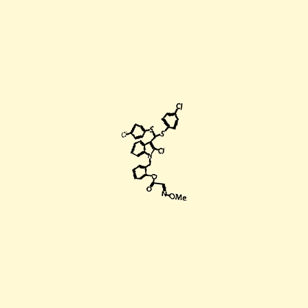 CON=CC(=O)Oc1ccccc1Cn1c(Cl)c(C(Sc2ccc(Cl)cc2)Sc2ccc(Cl)cc2)c2ccccc21